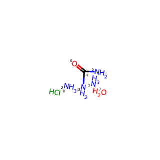 Cl.N.N.NC(N)=O.O